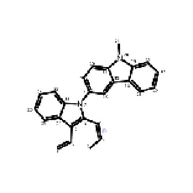 C=Cc1c(/C=C\C)n(-c2ccc3c(c2)c2ccccc2n3C)c2ccccc12